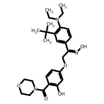 CCN(CC)c1ccc(/C(COc2ccc(C(=O)N3CCOCC3)c(O)c2)=N\O)cc1C(C)(C)C